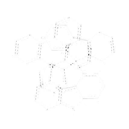 c1ccc(N(c2cccc3ccccc23)c2cccc3sc4cccc(C5(c6ccccc6)c6ccccc6-c6ccccc65)c4c23)cc1